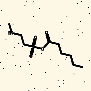 CCCCCC(=O)OS(=O)(=O)CCNC